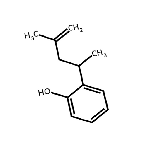 C=C(C)CC(C)c1ccccc1O